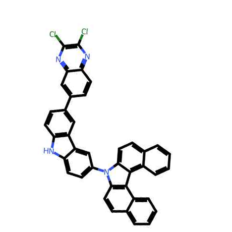 Clc1nc2ccc(-c3ccc4[nH]c5ccc(-n6c7ccc8ccccc8c7c7c8ccccc8ccc76)cc5c4c3)cc2nc1Cl